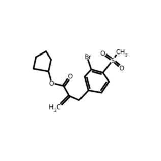 C=C(Cc1ccc(S(C)(=O)=O)c(Br)c1)C(=O)OC1CCCC1